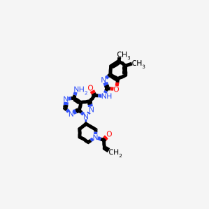 C=CC(=O)N1CCC[C@@H](n2nc(C(=O)Nc3nc4cc(C)c(C)cc4o3)c3c(N)ncnc32)C1